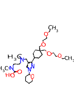 CCOCCOCC1(COCCOCC)CCC(c2nn(C3CCCCO3)cc2CN(C)CCN(C)C(=O)O)CC1